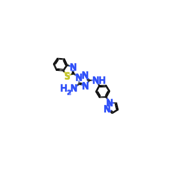 Nc1nc(Nc2ccc(-n3cccn3)cc2)nn1-c1nc2ccccc2s1